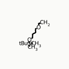 C=COCCCCO[Si](C)(C)C(C)(C)C